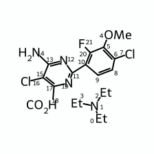 CCN(CC)CC.COc1c(Cl)ccc(-c2nc(N)c(Cl)c(C(=O)O)n2)c1F